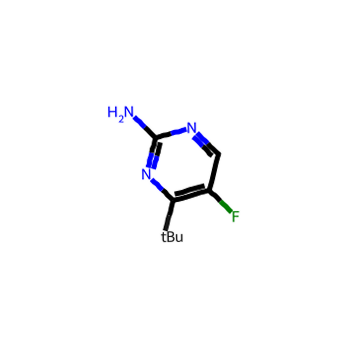 CC(C)(C)c1nc(N)ncc1F